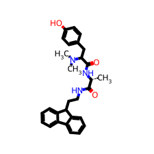 C[C@@H](NC(=O)C(Cc1ccc(O)cc1)N(C)C)C(=O)NCCC1c2ccccc2-c2ccccc21